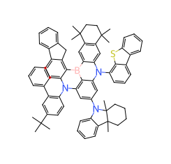 CC(C)(C)c1ccc(N2c3cc(N4c5ccccc5C5(C)CCCCC45C)cc4c3B(c3cc5c(cc3N4c3cccc4c3sc3ccccc34)C(C)(C)CCC5(C)C)c3c2ccc2c3Cc3ccccc3-2)c(-c2ccccc2)c1